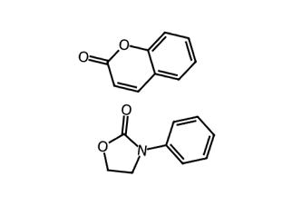 O=C1OCCN1c1ccccc1.O=c1ccc2ccccc2o1